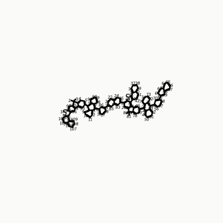 CC1(C)c2ccc(-c3c4ccccc4c(-c4cccc(-c5ccc6ccc(-c7cc8c(c9c7sc7c%10ccccc%10ccc79)-c7cc(-c9c%10ccccc%10c(-c%10cccc(-c%11ccc%12ccccc%12c%11)c%10)c%10ccccc9%10)ccc7C8(C)C)cc6c5)c4)c4ccccc34)cc2-c2cc3c(cc21)sc1ccc2ccccc2c13